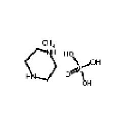 C.C1CNCCN1.O=P(O)(O)O